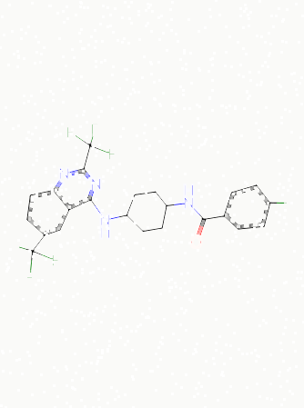 O=C(NC1CCC(Nc2nc(C(F)(F)F)nc3ccc(C(F)(F)F)cc23)CC1)c1ccc(F)cc1